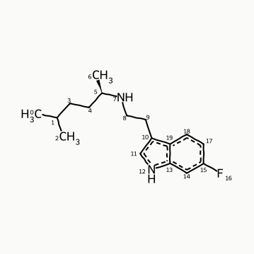 CC(C)CC[C@@H](C)NCCc1c[nH]c2cc(F)ccc12